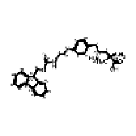 CC(C)(C[C@@H](N)Cc1ccc(NCCNC(=O)OCC2c3ccccc3-c3ccccc32)cc1)C(=O)O